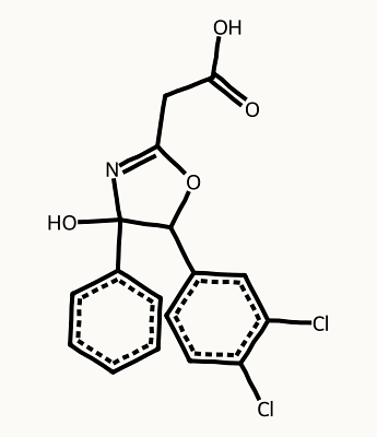 O=C(O)CC1=NC(O)(c2ccccc2)C(c2ccc(Cl)c(Cl)c2)O1